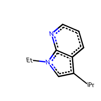 CCn1cc(C(C)C)c2cccnc21